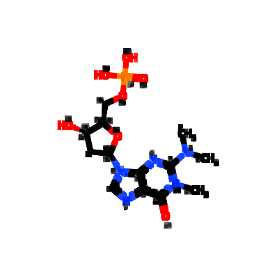 CN(C)c1nc2c(ncn2[C@H]2C[C@H](O)[C@@H](COP(=O)(O)O)O2)c(=O)n1C